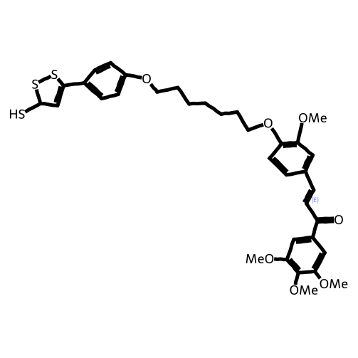 COc1cc(/C=C/C(=O)c2cc(OC)c(OC)c(OC)c2)ccc1OCCCCCCCOc1ccc(C2=CC(S)SS2)cc1